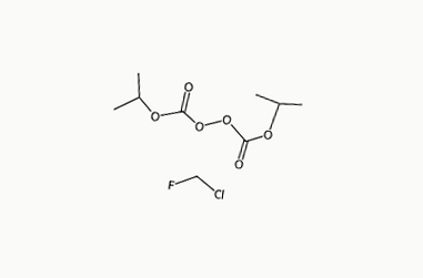 CC(C)OC(=O)OOC(=O)OC(C)C.FCCl